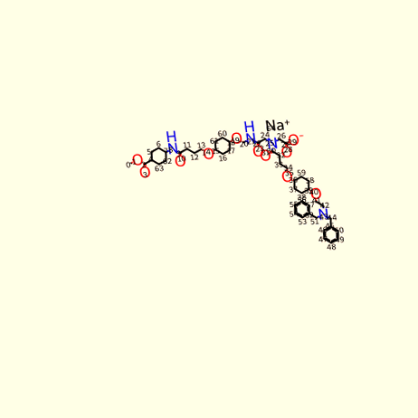 COC(=O)C1CCC(NC(=O)CCCOC2CCC(OCNC(=O)CN(CC(=O)[O-])C(=O)CCCOC3CCC(OCCN(Cc4ccccc4)Cc4ccccc4)CC3)CC2)CC1.[Na+]